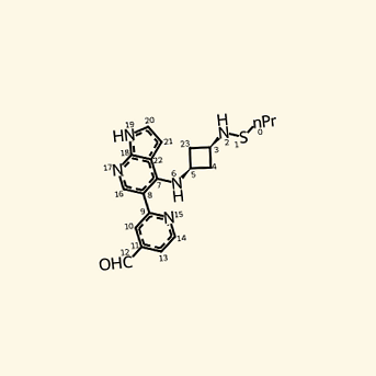 CCCSN[C@H]1C[C@@H](Nc2c(-c3cc(C=O)ccn3)cnc3[nH]ccc23)C1